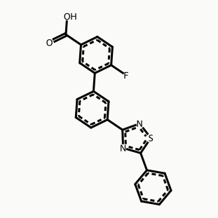 O=C(O)c1ccc(F)c(-c2cccc(-c3nsc(-c4ccccc4)n3)c2)c1